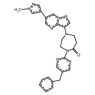 Cn1cc(-c2cnc3c(N4CCC(=O)N(c5ncc(Cc6ccccc6)cn5)CC4)cnn3c2)cn1